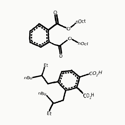 CCCCC(CC)Cc1ccc(C(=O)O)c(C(=O)O)c1CC(CC)CCCC.CCCCCCCCOC(=O)c1ccccc1C(=O)OCCCCCCCC